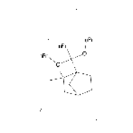 CCCOC(CCC)(OCCC)C12CCC(CC1(C)C)C2